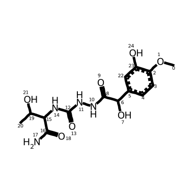 COc1ccc(C(O)C(=O)NNC(=O)NC(C(N)=O)C(C)O)cc1O